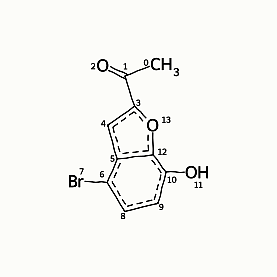 CC(=O)c1cc2c(Br)ccc(O)c2o1